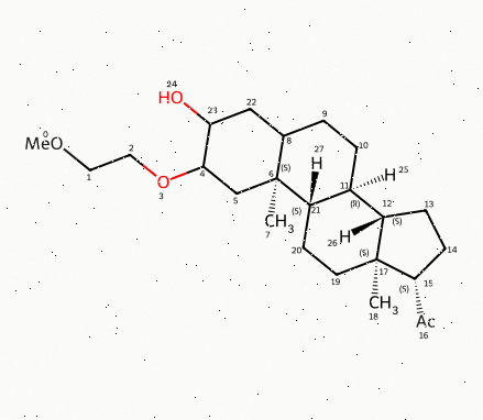 COCCOC1C[C@@]2(C)C(CC[C@H]3[C@@H]4CC[C@H](C(C)=O)[C@@]4(C)CC[C@@H]32)CC1O